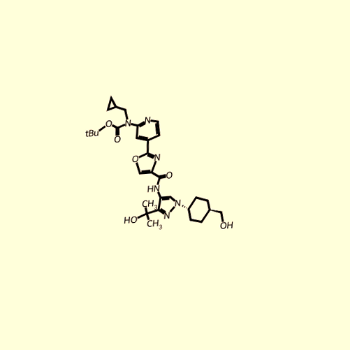 CC(C)(C)OC(=O)N(CC1CC1)c1cc(-c2nc(C(=O)Nc3cn([C@H]4CC[C@H](CO)CC4)nc3C(C)(C)O)co2)ccn1